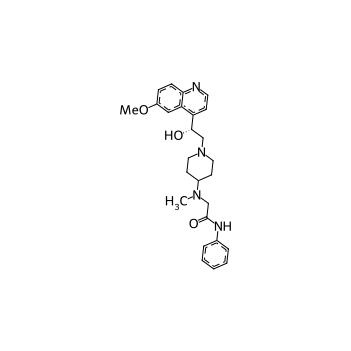 COc1ccc2nccc([C@@H](O)CN3CCC(N(C)CC(=O)Nc4ccccc4)CC3)c2c1